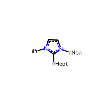 CCCCCCCCC[n+]1ccn(C(C)C)c1CCCCCCC